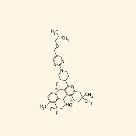 Cc1ccc([C@H](F)c2c(C3CCN(c4ncc(COCC(C)C)cn4)CC3)nc3c(c2C2CCC(F)(F)CC2)[C@@H](O)CC(C)(C)C3)cc1